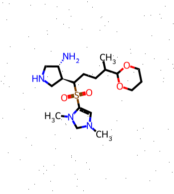 CC(CCC([C@H]1CNC[C@@H]1N)S(=O)(=O)C1=CN(C)CN1C)C1OCCCO1